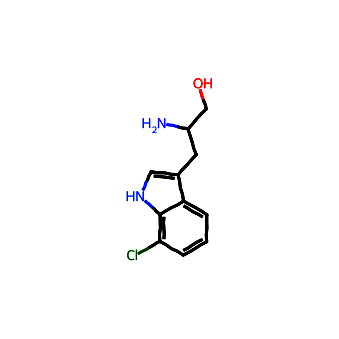 NC(CO)Cc1c[nH]c2c(Cl)cccc12